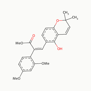 COC(=O)/C(=C\c1ccc2c(c1O)C=CC(C)(C)O2)c1ccc(OC)cc1OC